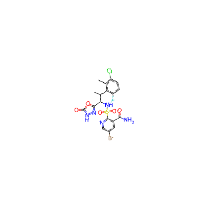 Cc1c(Cl)ccc(F)c1C(C)C(NS(=O)(=O)c1ncc(Br)cc1C(N)=O)c1n[nH]c(=O)o1